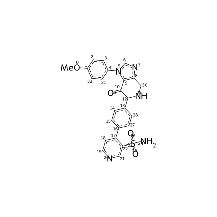 COc1ccc(-n2cnc3c2C(=O)C(c2ccc(-c4ccncc4S(N)(=O)=O)cc2)NC3)cc1